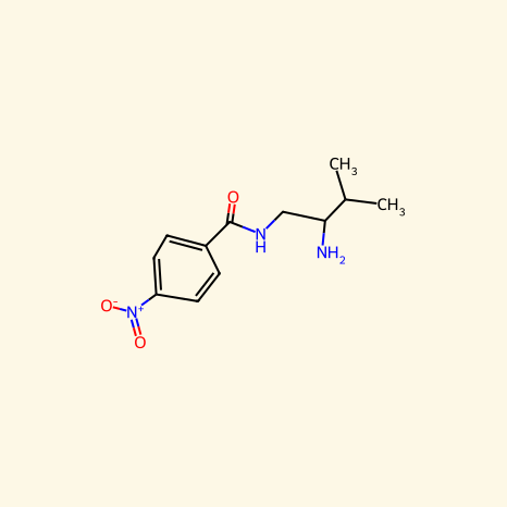 CC(C)C(N)CNC(=O)c1ccc([N+](=O)[O-])cc1